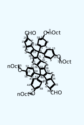 CCCCCCCCOc1ccc(C2(c3ccc(OCCCCCCCC)cc3)c3c(sc4cc(C=O)sc34)-c3sc4c5c(sc4c32)-c2sc3cc(C=O)sc3c2C5(c2ccc(OCCCCCCCC)cc2)c2ccc(OCCCCCCCC)cc2)cc1